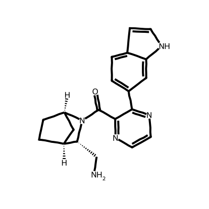 NC[C@@H]1[C@H]2CC[C@H](C2)N1C(=O)c1nccnc1-c1ccc2cc[nH]c2c1